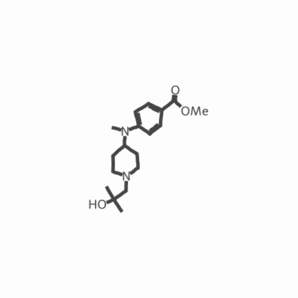 COC(=O)c1ccc(N(C)C2CCN(CC(C)(C)O)CC2)cc1